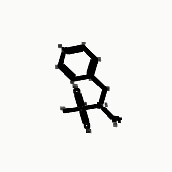 CC(C)N(Cc1ccncc1)S(C)(=O)=O